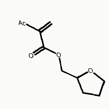 C=C(C(C)=O)C(=O)OCC1CCCO1